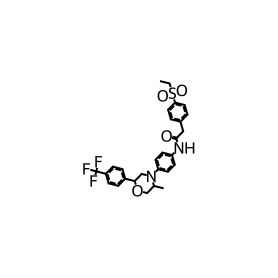 CCS(=O)(=O)c1ccc(CC(=O)Nc2ccc(N3CC(c4ccc(C(F)(F)F)cc4)OCC3C)cc2)cc1